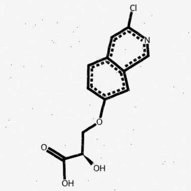 O=C(O)[C@H](O)COc1ccc2cc(Cl)ncc2c1